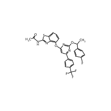 CC(=O)Nc1nc2c(Oc3cc(-c4ccc(C(F)(F)F)cc4)nc(OC(C)c4ccc(F)cc4)n3)cccc2s1